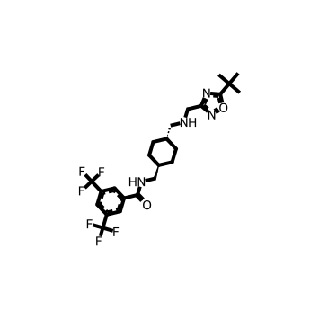 CC(C)(C)c1nc(CNC[C@H]2CC[C@H](CNC(=O)c3cc(C(F)(F)F)cc(C(F)(F)F)c3)CC2)no1